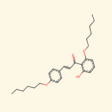 CCCCCCOc1ccc(/C=C/C(=O)c2c(O)cccc2OCCCCCC)cc1